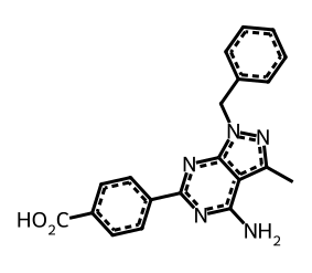 Cc1nn(Cc2ccccc2)c2nc(-c3ccc(C(=O)O)cc3)nc(N)c12